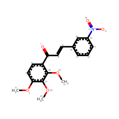 COc1ccc(C(=O)C=Cc2cccc([N+](=O)[O-])c2)c(OC)c1OC